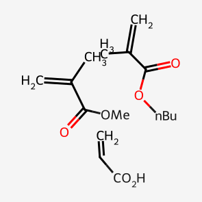 C=C(C)C(=O)OC.C=C(C)C(=O)OCCCC.C=CC(=O)O